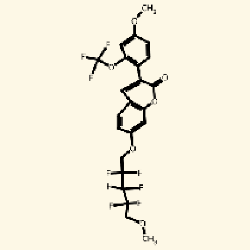 COCC(F)(F)C(F)(F)C(F)(F)COc1ccc2cc(-c3ccc(OC)cc3OC(F)(F)F)c(=O)oc2c1